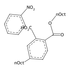 CCCCCCCCOC(=O)c1ccc(CCCCCCCC)cc1C(=O)O.O=[N+]([O-])c1ccccc1